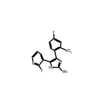 CC(C)(C)c1nc(-c2ccc(F)cc2[N+](=O)[O-])c(-c2cccnc2F)[nH]1